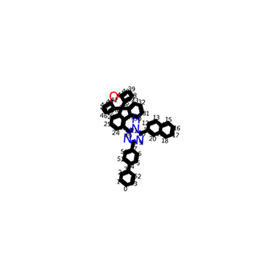 c1ccc(-c2ccc(C3=NC(c4ccc5ccccc5c4)NC(c4cccc5c4-c4ccccc4C54c5ccccc5Oc5ccccc54)=N3)cc2)cc1